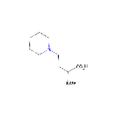 CNC(CCN1CCCCC1)C(=O)O